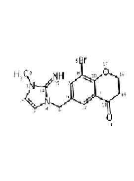 Cn1ccn(Cc2cc(Br)c3c(c2)C(=O)CCO3)c1=N